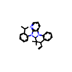 C=CC1c2ccccc2N2c3cccnc3N(c3ccccc3C(C)C)C2C1(C)C